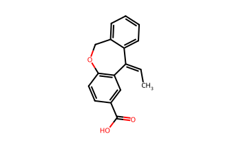 CC=C1c2ccccc2COc2ccc(C(=O)O)cc21